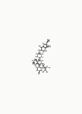 CCN(C(=O)c1cc(F)ccc1N1CCN(C2CCN(Cc3ccc4[nH]c(C#N)cc4c3C)CC2)c2ncncc21)C(C)C